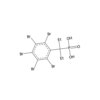 CCC(CC)(c1c(Br)c(Br)c(Br)c(Br)c1Br)P(=O)(O)O